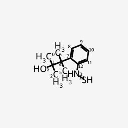 CC(C)(O)C(C)(C)c1ccccc1NS